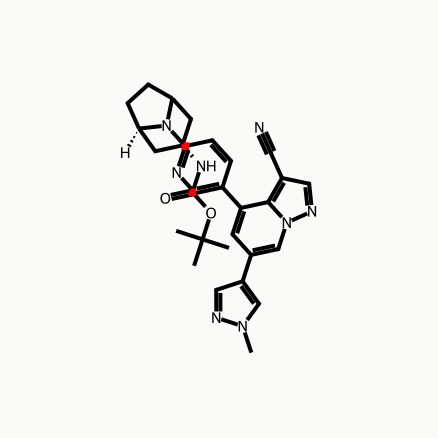 Cn1cc(-c2cc(-c3ccc(N4C5CC[C@@H]4C[C@@H](NC(=O)OC(C)(C)C)C5)nc3)c3c(C#N)cnn3c2)cn1